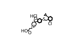 Cl.O=C(O)CCN1CCC2(CC1)COc1cc(SCc3c(Cl)cccc3C3CC3)ccc12